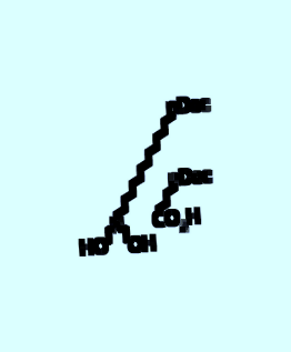 CCCCCCCCCCCCCCC(=O)O.CCCCCCCCCCCCCCCCCCCCCCCCN(CCO)CCO